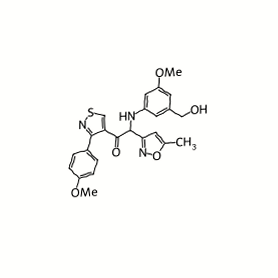 COc1ccc(-c2nscc2C(=O)C(Nc2cc(CO)cc(OC)c2)c2cc(C)on2)cc1